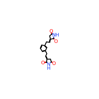 O=C1CC(=CCc2cccc(CC=C3CC(=O)NC3=O)c2)C(=O)N1